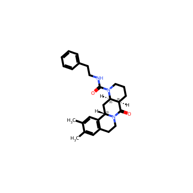 Cc1cc2c(cc1C)[C@@H]1C[C@@H]3[C@@H](CCCN3C(=O)NCCc3ccccc3)C(=O)N1CC2